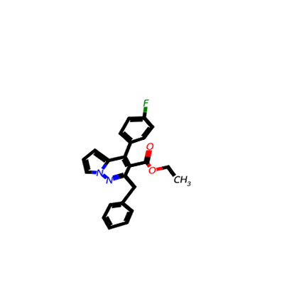 CCOC(=O)c1c(Cc2ccccc2)nn2cccc2c1-c1ccc(F)cc1